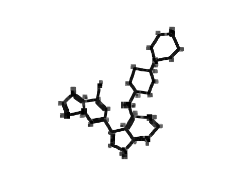 Fc1cc(-c2c[nH]c3ncnc(NC4CCC(N5CCOCC5)CC4)c23)cn2ncnc12